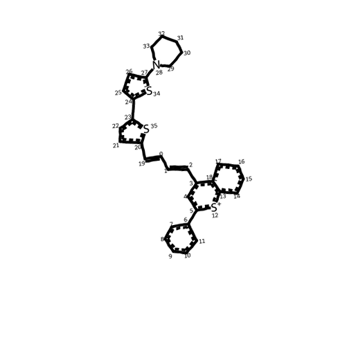 C(/C=C/c1cc(-c2ccccc2)[s+]c2ccccc12)=C\c1ccc(-c2ccc(N3CCCCC3)s2)s1